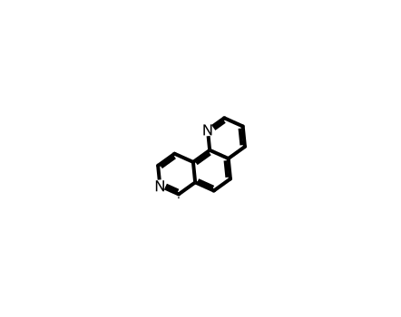 [c]1nccc2c1ccc1cccnc12